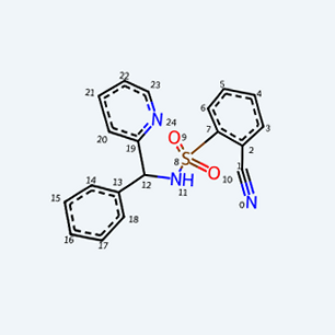 N#Cc1ccccc1S(=O)(=O)NC(c1ccccc1)c1ccccn1